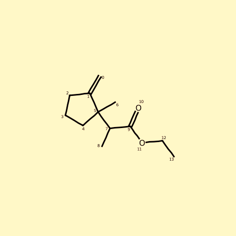 C=C1CCCC1(C)C(C)C(=O)OCC